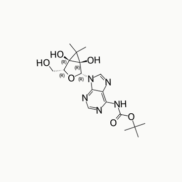 CC(C)(C)OC(=O)Nc1ncnc2c1ncn2[C@@H]1O[C@H](CO)[C@]2(O)C(C)(C)[C@]12O